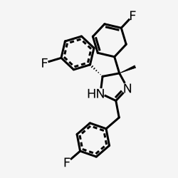 C[C@@]1(C2C=CC=C(F)C2)N=C(Cc2ccc(F)cc2)N[C@@H]1c1cccc(F)c1